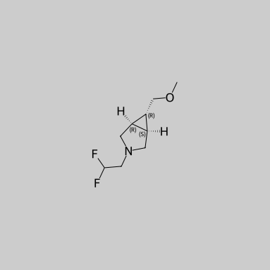 COC[C@@H]1[C@H]2CN(CC(F)F)C[C@@H]12